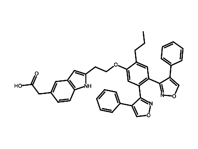 CCCc1cc(-c2nocc2-c2ccccc2)c(-c2nocc2-c2ccccc2)cc1OCCc1cc2cc(CC(=O)O)ccc2[nH]1